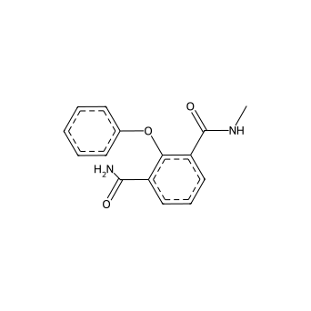 CNC(=O)c1cccc(C(N)=O)c1Oc1ccccc1